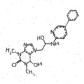 CN1C(=O)N(C)C(O)c2c1ncn2CC(O)Nc1ccc(-c2ccccc2)cn1